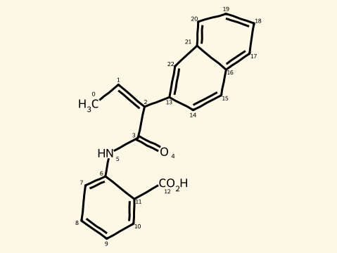 CC=C(C(=O)Nc1ccccc1C(=O)O)c1ccc2ccccc2c1